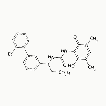 CCc1ccccc1-c1cccc(C(CC(=O)O)NC(=O)Nc2c(O)c(C)cn(C)c2=O)c1